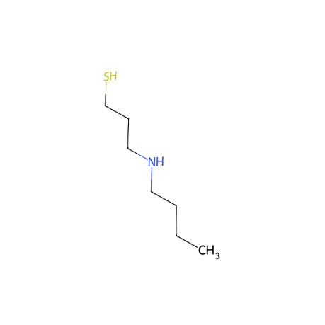 CCCCNCCCS